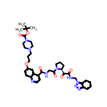 CC(C)(C)OC(=O)N1CCN(CCCOc2ccc3nccc(C(=O)NCC(=O)N4CCC[C@H]4C(=O)C(=O)NCn4nnc5ccccc54)c3c2)CC1